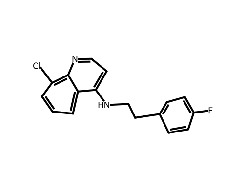 Fc1ccc(CCNc2ccnc3c(Cl)cccc23)cc1